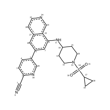 N#Cc1ccc(-c2cc(NC3CCN(S(=O)(=O)C4CC4)CC3)c3cnccc3c2)cn1